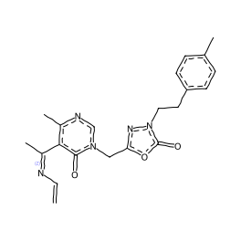 C=C/N=C(/C)c1c(C)ncn(Cc2nn(CCc3ccc(C)cc3)c(=O)o2)c1=O